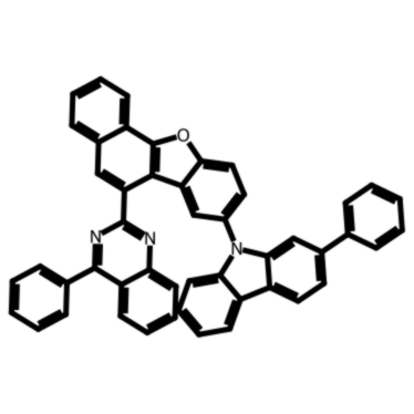 c1ccc(-c2ccc3c4ccccc4n(-c4ccc5oc6c7ccccc7cc(-c7nc(-c8ccccc8)c8ccccc8n7)c6c5c4)c3c2)cc1